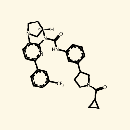 O=C(C1CC1)N1CCC(c2cccc(NC(=O)N3c4nc(-c5cccc(C(F)(F)F)c5)ccc4N4CC[C@H]3C4)c2)C1